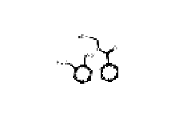 CCCCCCCCCCCOC(=O)c1ccccc1.CCCCCCCCCc1ccccc1C(=O)O